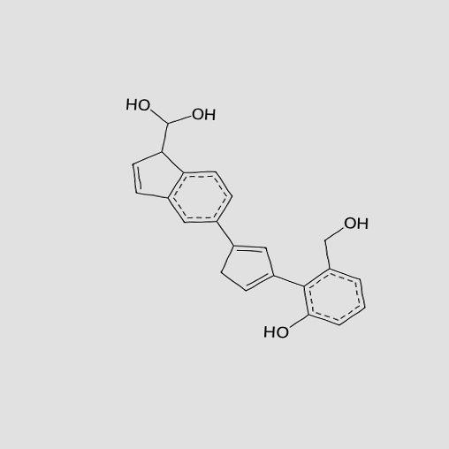 OCc1cccc(O)c1C1=CCC(c2ccc3c(c2)C=CC3C(O)O)=C1